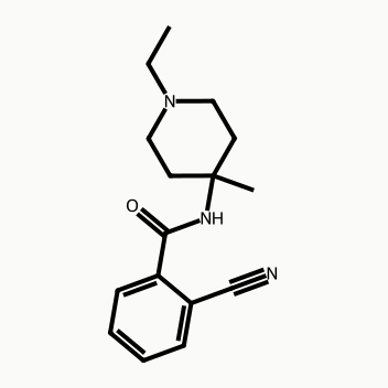 CCN1CCC(C)(NC(=O)c2ccccc2C#N)CC1